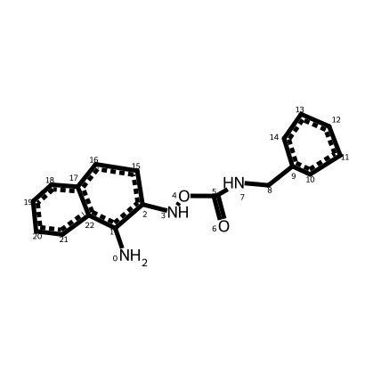 Nc1c(NOC(=O)NCc2ccccc2)ccc2ccccc12